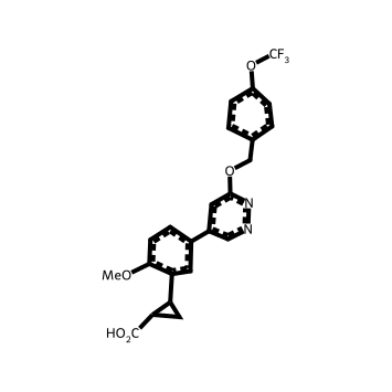 COc1ccc(-c2cnnc(OCc3ccc(OC(F)(F)F)cc3)c2)cc1C1CC1C(=O)O